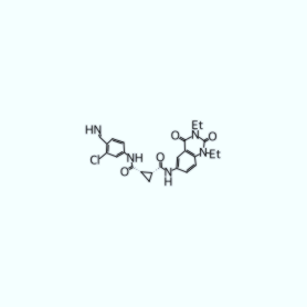 CCn1c(=O)c2cc(NC(=O)[C@@H]3C[C@@H]3C(=O)Nc3ccc(C=N)c(Cl)c3)ccc2n(CC)c1=O